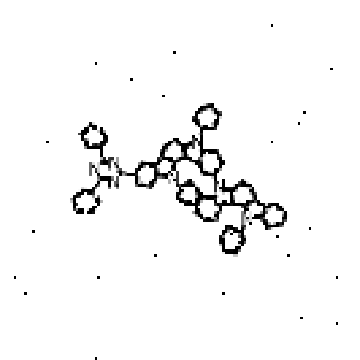 c1ccc(-c2nc(-c3ccccc3)nc(-c3ccc4c(c3)c3ccc5c(c6cc(-n7c8ccccc8c8c7ccc7c9ccccc9n(-c9ccccc9)c78)ccc6n5-c5ccccc5)c3n4-c3ccccc3)n2)cc1